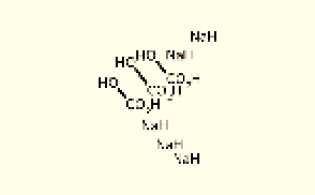 O=C(O)O.O=C(O)O.O=C(O)O.[NaH].[NaH].[NaH].[NaH].[NaH]